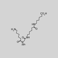 CCCN(CC(=O)NCCCCCC(=O)NCCCCCC(=O)O)C(=O)CCCCCN